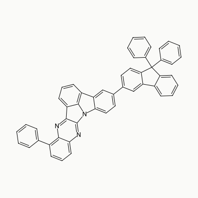 c1ccc(-c2cccc3nc4c(nc23)c2cccc3c5cc(-c6ccc7c(c6)-c6ccccc6C7(c6ccccc6)c6ccccc6)ccc5n4c32)cc1